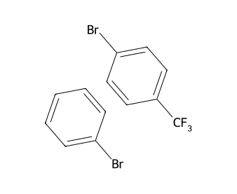 Brc1ccccc1.FC(F)(F)c1ccc(Br)cc1